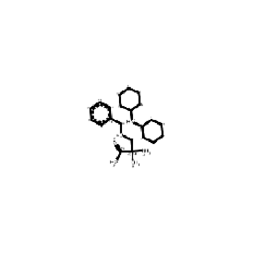 C1CCC(NC2CCCCC2)CC1.C[C@](N)(COCc1ccccc1)C(=O)O